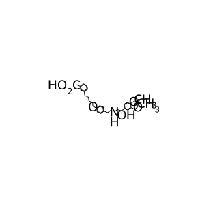 CC1(C)OCc2cc([C@H](O)CNCCc3ccc(OCCCCc4cccc(C(=O)O)c4)cc3)ccc2O1